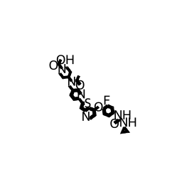 CC(=O)N(Cc1ccc(-c2cc3nccc(Oc4ccc(NC(=O)NC5CC5)cc4F)c3s2)nc1)C1CCN(C(=O)O)CC1